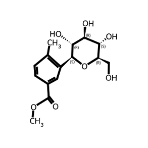 COC(=O)c1ccc(C)c([C@@H]2O[C@H](CO)[C@@H](O)[C@H](O)[C@H]2O)c1